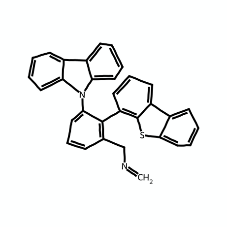 C=NCc1cccc(-n2c3ccccc3c3ccccc32)c1-c1cccc2c1sc1ccccc12